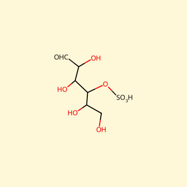 O=CC(O)C(O)C(OS(=O)(=O)O)C(O)CO